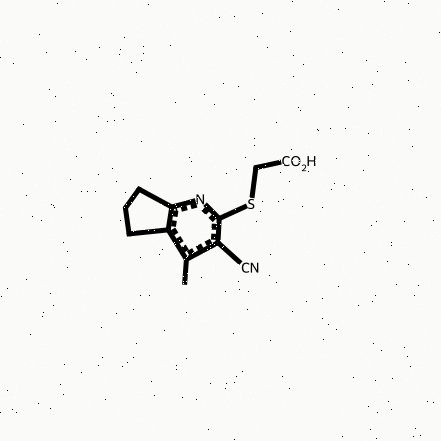 Cc1c(C#N)c(SCC(=O)O)nc2c1CCC2